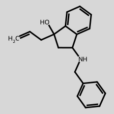 C=CCC1(O)CC(NCc2ccccc2)c2ccccc21